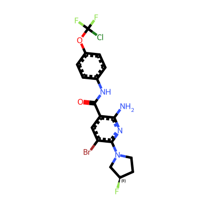 Nc1nc(N2CC[C@@H](F)C2)c(Br)cc1C(=O)Nc1ccc(OC(F)(F)Cl)cc1